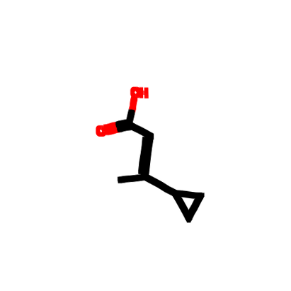 C/C(=C\C(=O)O)C1CC1